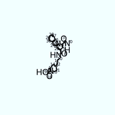 CNC(=O)c1cc(C(=O)NCCCC2CCN(C(=O)O)CC2)cc(Cc2ccccc2)n1